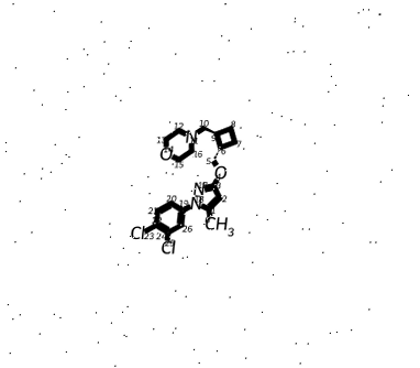 Cc1cc(OC[C@H]2CC[C@@H]2CN2CCOCC2)nn1-c1ccc(Cl)c(Cl)c1